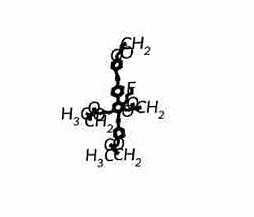 C=CC(=O)Oc1ccc(C#Cc2ccc(-c3cc(CCOC(=O)C(=C)C)c(C#Cc4ccc(OC(=O)C(=C)C)cc4)c(OC(=O)C=C)c3CCCF)cc2)cc1